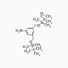 CC(C)(C)[Si](C)(C)OCc1cc(N)cc(CO[Si](C)(C)C(C)(C)C)c1